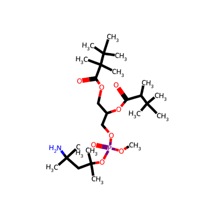 COP(=O)(OCC(COC(=O)C(C)(C)C(C)(C)C)OC(=O)C(C)C(C)(C)C)OC(C)(C)CC(C)(C)N